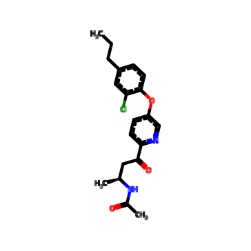 CCCc1ccc(Oc2ccc(C(=O)C[C@H](C)NC(C)=O)nc2)c(Cl)c1